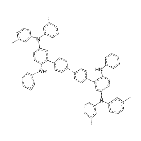 Cc1cccc(N(c2cccc(C)c2)c2ccc(Nc3ccccc3)c(-c3ccc(-c4ccc(-c5cc(N(c6cccc(C)c6)c6cccc(C)c6)ccc5Nc5ccccc5)cc4)cc3)c2)c1